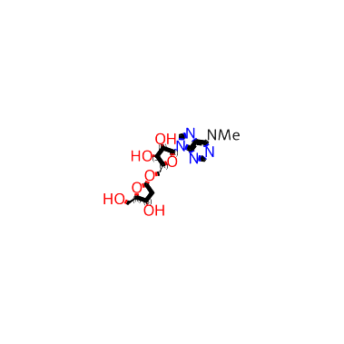 CNc1ncnc2c1ncn2[C@@H]1O[C@H](COC2C[C@H](O)[C@@H](CO)O2)[C@@H](O)[C@H]1O